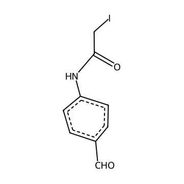 O=Cc1ccc(NC(=O)CI)cc1